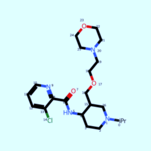 CC(C)N1CCC(NC(=O)c2ncccc2Cl)C(COCCN2CCOCC2)C1